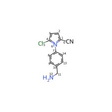 N#Cc1ccc(Cl)n1-c1ccc(CN)cc1